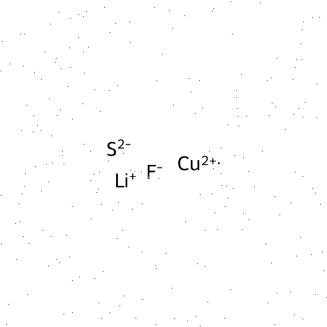 [Cu+2].[F-].[Li+].[S-2]